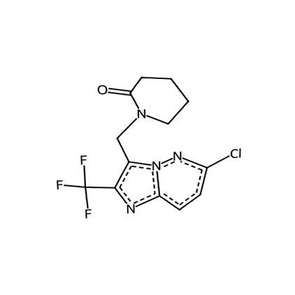 O=C1CCCCN1Cc1c(C(F)(F)F)nc2ccc(Cl)nn12